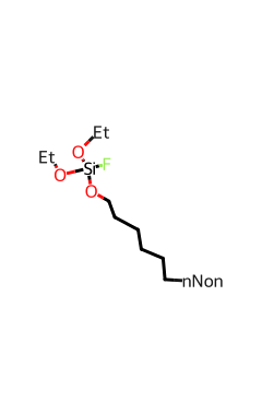 CCCCCCCCCCCCCCCO[Si](F)(OCC)OCC